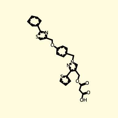 O=C(O)CC(=O)OCc1cn(Cc2ccc(OCc3csc(-c4ccccc4)n3)cc2)nc1-c1cccs1